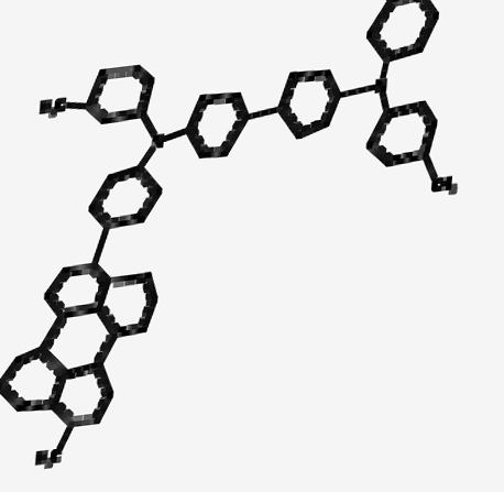 Cc1ccc(N(c2ccc(-c3ccc(N(c4ccc(-c5ccc6c7cccc8c(C)ccc(c9cccc5c96)c87)cc4)c4cccc(C)c4)cc3)cc2)c2cccc(C)c2)cc1